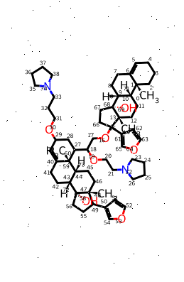 C[C@]12CCCC=C1CC[C@@H]1[C@H]2CC[C@]2(C)C(OCC(OCCN3CCCC3)C3CC(OCCCN4CCCC4)C=C4CC[C@@H]5[C@@H](CC[C@]6(C)C(c7ccoc7)CC[C@@]56O)[C@]43C)(c3ccoc3)CC[C@@]12O